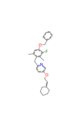 Cc1cc(OCc2ccccc2)c(F)c(C)c1Cc1ccc(OCC=C2CCCCC2)cn1